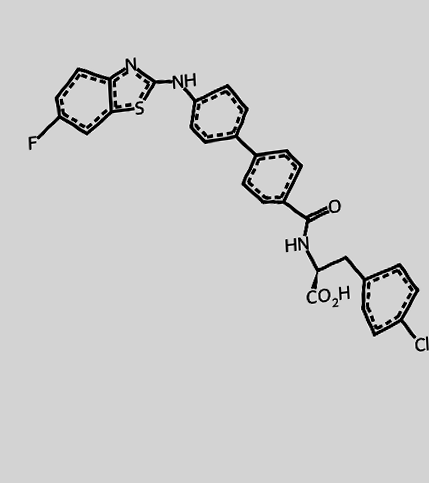 O=C(N[C@@H](Cc1ccc(Cl)cc1)C(=O)O)c1ccc(-c2ccc(Nc3nc4ccc(F)cc4s3)cc2)cc1